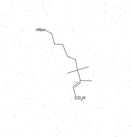 CCCCCCCCCCCCCCC(C)(C)/C(C)=C/C(=O)O